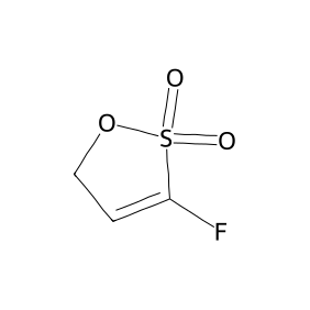 O=S1(=O)OCC=C1F